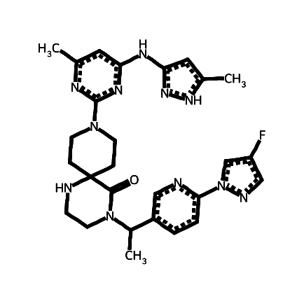 Cc1cc(Nc2cc(C)[nH]n2)nc(N2CCC3(CC2)NCCN(C(C)c2ccc(-n4cc(F)cn4)nc2)C3=O)n1